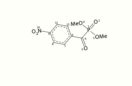 COP(=O)(OC)C(=O)c1ccc([N+](=O)[O-])cc1